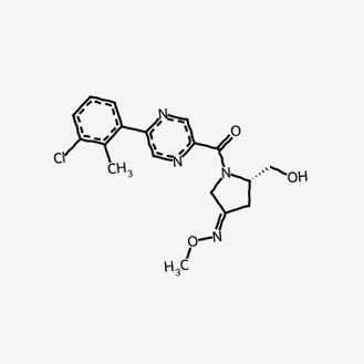 CO/N=C1/C[C@@H](CO)N(C(=O)c2cnc(-c3cccc(Cl)c3C)cn2)C1